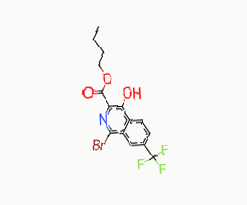 CCCCOC(=O)c1nc(Br)c2cc(C(F)(F)F)ccc2c1O